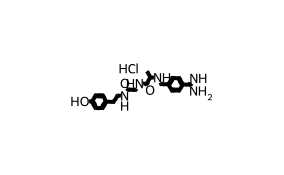 CC(NCc1ccc(C(=N)N)cc1)C(=O)NCC(=O)NCCc1ccc(O)cc1.Cl